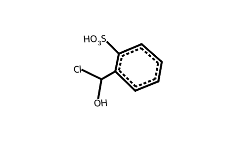 O=S(=O)(O)c1ccccc1C(O)Cl